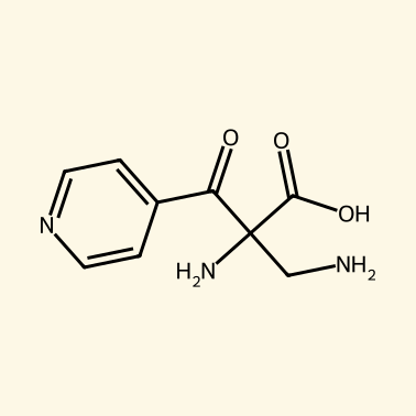 NCC(N)(C(=O)O)C(=O)c1ccncc1